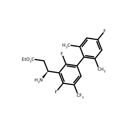 CCOC(=O)C[C@H](N)c1c(F)c(-c2c(C)cc(F)cc2C)cc(C(F)(F)F)c1F